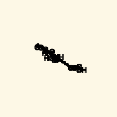 CC(=O)COCCOCCNC(=O)CC[C@H](NC(=O)CCCCCCCCCOc1ccc(C(=O)O)cc1)C(=O)O